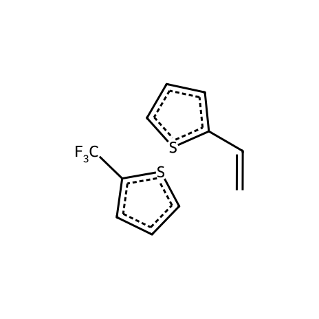 C=Cc1cccs1.FC(F)(F)c1cccs1